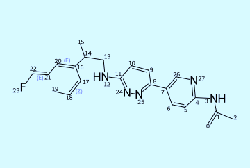 C=C(C)Nc1ccc(-c2ccc(NCC(C)C(/C=C\C)=C/C=C/F)nn2)cn1